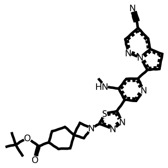 CNc1cc(-c2ccc3cc(C#N)cnn23)ncc1-c1nnc(N2CC3(CCC(C(=O)OC(C)(C)C)CC3)C2)s1